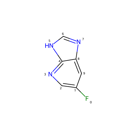 Fc1cnc2[nH]cnc2c1